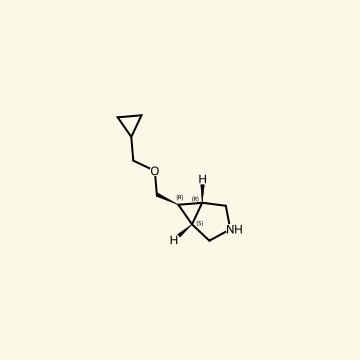 C1CC1COC[C@H]1[C@@H]2CNC[C@@H]21